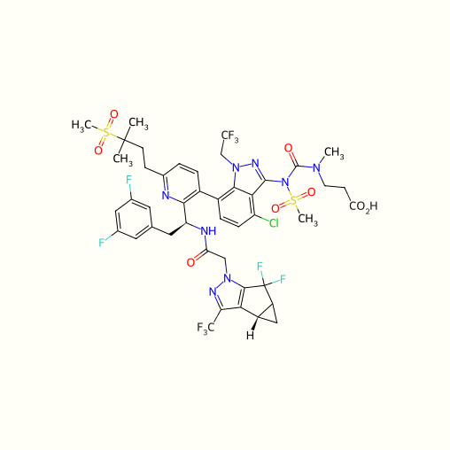 CN(CCC(=O)O)C(=O)N(c1nn(CC(F)(F)F)c2c(-c3ccc(CCC(C)(C)S(C)(=O)=O)nc3[C@H](Cc3cc(F)cc(F)c3)NC(=O)Cn3nc(C(F)(F)F)c4c3C(F)(F)C3C[C@H]43)ccc(Cl)c12)S(C)(=O)=O